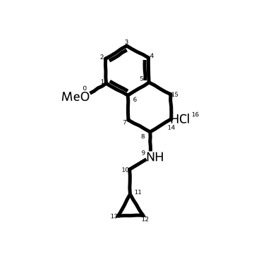 COc1cccc2c1CC(NCC1CC1)CC2.Cl